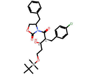 CC(C)(C)[Si](C)(C)OCC[C@@H](O)[C@H](Cc1ccc(Cl)cc1)C(=O)N1C(=O)OCC1Cc1ccccc1